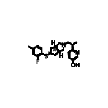 Cc1ccc(S[C@H]2C[C@@H]3CN(CC(C)c4ccc(O)cn4)C[C@@H]3C2)c(F)c1